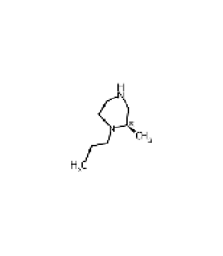 CCCN1CCNC[C@H]1C